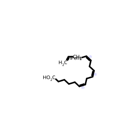 C=CC.CCCCC/C=C\C/C=C\C/C=C\CCCCC(=O)O